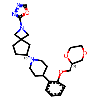 c1ccc(C2CCN([C@@H]3CCC4(C3)CN(c3nnco3)C4)CC2)c(OC[C@@H]2COCCO2)c1